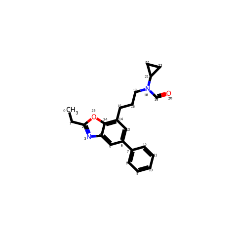 CCc1nc2cc(-c3ccccc3)cc(CCCN(C=O)C3CC3)c2o1